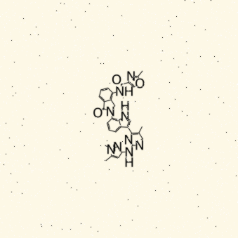 Cc1nc(C(=O)Nc2cccc3c2CN(c2cccc4c(-c5nc(Nc6cc(C)n(C)n6)ncc5C)c[nH]c24)C3=O)co1